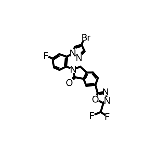 O=C1c2cc(-c3nnc(C(F)F)o3)ccc2CN1c1ccc(F)cc1-n1cc(Br)cn1